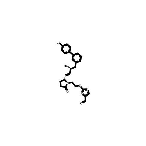 O=Cc1csc(SCCN2C(=O)CC[C@@H]2/C=C/[C@@H](O)Cc2cccc(-c3ccc(Cl)cc3)c2)n1